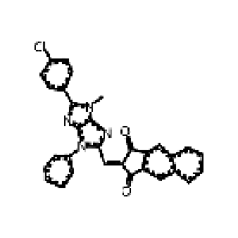 Cn1c(-c2ccc(Cl)cc2)nc2c1nc(C=C1C(=O)c3cc4ccccc4cc3C1=O)n2-c1ccccc1